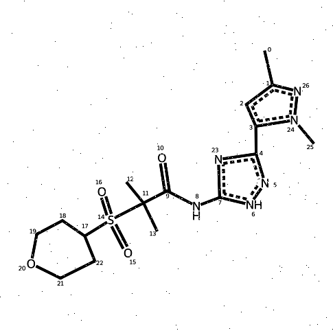 Cc1cc(-c2n[nH]c(NC(=O)C(C)(C)S(=O)(=O)C3CCOCC3)n2)n(C)n1